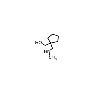 CNCC1(CO)CCCC1